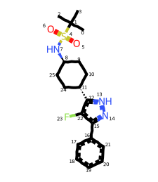 CC(C)(C)S(=O)(=O)N[C@H]1CC[C@H](c2[nH]nc(-c3ccccc3)c2F)CC1